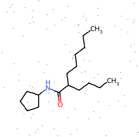 CCCCCCC(CCCC)C(=O)NC1CCCC1